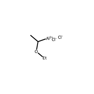 CCO[CH](C)[Al+2].[Cl-].[Cl-]